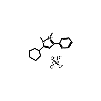 Cn1c(C2CCCCC2)cc(-c2ccccc2)[n+]1C.[O-][Cl+3]([O-])([O-])[O-]